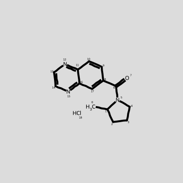 CC1CCCN1C(=O)c1ccc2nccnc2c1.Cl